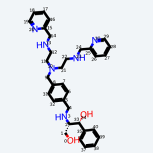 OC[C@H](NCc1ccc(CN(CCNCc2ccccn2)CCNCc2ccccn2)cc1)[C@H](O)c1ccccc1